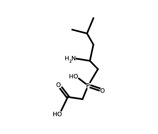 CC(C)CC(N)CP(=O)(O)CC(=O)O